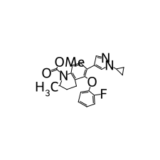 COC(=O)N1c2ccc(-c3cnn(C4CC4)c3)c(Oc3ccccc3F)c2CCC1C